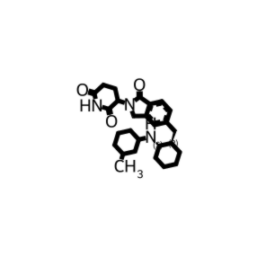 CC1CCCC(N[C@H]2CCCC[C@@H]2Cc2ccc3c(c2)CN(C2CCC(=O)NC2=O)C3=O)C1